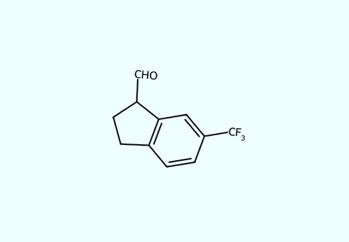 O=CC1CCc2ccc(C(F)(F)F)cc21